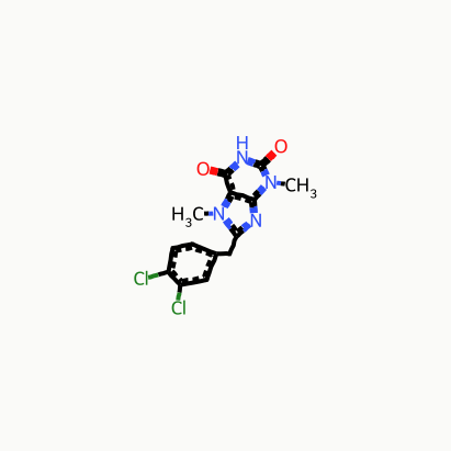 Cn1c(Cc2ccc(Cl)c(Cl)c2)nc2c1c(=O)[nH]c(=O)n2C